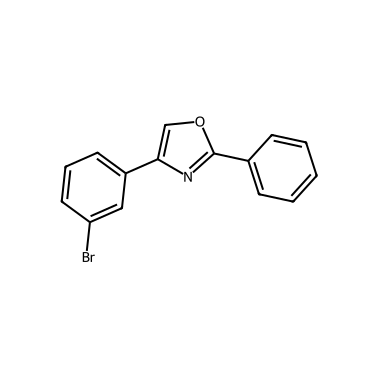 Brc1cccc(-c2coc(-c3ccccc3)n2)c1